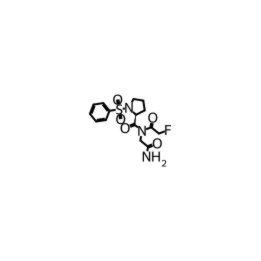 NC(=O)CN(C(=O)CF)C(=O)[C@@H]1CCCN1S(=O)(=O)c1ccccc1